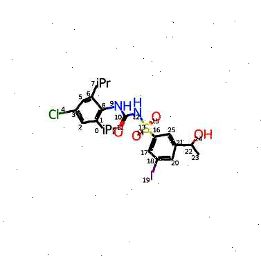 CC(C)c1cc(Cl)cc(C(C)C)c1NC(=O)NS(=O)(=O)c1cc(I)cc(C(C)O)c1